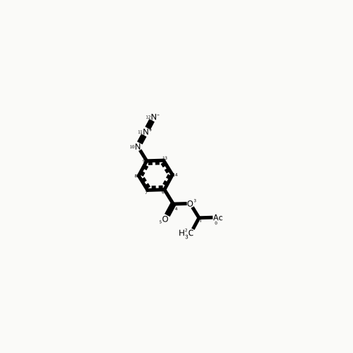 CC(=O)C(C)OC(=O)c1ccc(N=[N+]=[N-])cc1